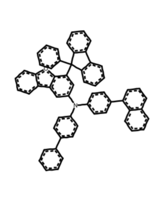 c1ccc(-c2ccc(N(c3ccc(-c4cccc5ccccc45)cc3)c3cc(C4(c5ccccc5)c5ccccc5-c5ccccc54)c4oc5ccccc5c4c3)cc2)cc1